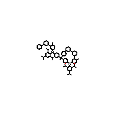 Cc1ccc(N(c2ccc(C(C)(c3ccccc3)c3ccc(N(c4ccc(C)c(-c5cccc(-c6ccccc6)c5)c4)c4c(C(C)C)cc(C(C)C)cc4C(C)C)cc3)cc2)c2c(C(C)C)cc(C(C)C)cc2C(C)C)cc1-c1cccc(-c2ccccc2)c1